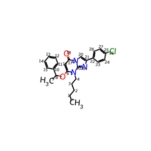 CCCCCn1c(OC(C)c2ccccc2)cc(=O)n2cc(-c3ccc(Cl)cc3)nc12